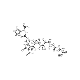 CC(C)C1=C2[C@H]3CCC4[C@@]5(C)CC[C@H](OC(=O)CC(C)(C)C(=O)O)C(C)C5CC[C@@]4(C)[C@]3(C)CC[C@@]2(CCN(CCN(C)C)Cc2cc[nH]n2)CC1=O